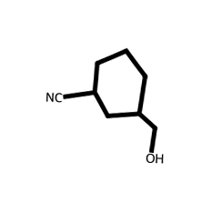 N#CC1CCCC(CO)C1